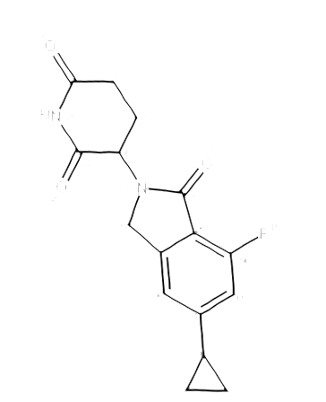 O=C1CCC(N2Cc3cc(C4CC4)cc(F)c3C2=O)C(=O)N1